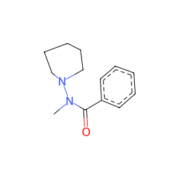 CN(C(=O)c1ccccc1)N1CCCCC1